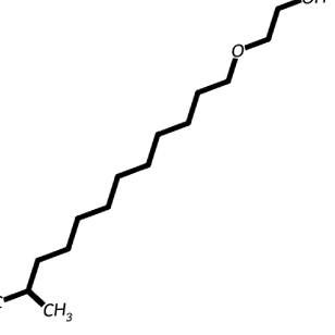 CC(C)CCCCCCCCCCOCCO